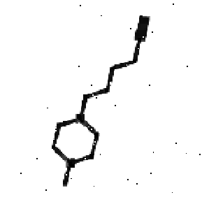 C#CCCCCN1CCN(C)CC1